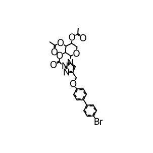 CC(=O)OC1COC(n2cc(COc3ccc(-c4ccc(Br)cc4)cc3)nn2)C(OC(C)=O)C1OC(C)=O